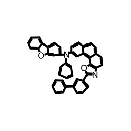 c1ccc(-c2cccc(-c3nc4ccc5ccc6ccc(N(c7ccccc7)c7ccc8c(c7)oc7ccccc78)cc6c5c4o3)c2)cc1